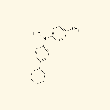 Cc1ccc(N(C)c2ccc(C3CCCCC3)cc2)cc1